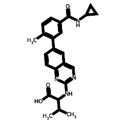 Cc1ccc(C(=O)NC2CC2)cc1-c1ccc2nc(NC(C(=O)O)C(C)C)ncc2c1